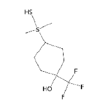 CS(C)(S)C1CCC(O)(C(F)(F)F)CC1